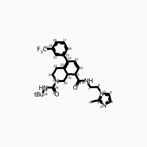 Cc1nccn1CCNC(=O)C1C=CC(c2cccc(C(F)(F)F)c2)=C2CCN(C(=O)NC(C)(C)C)CC21